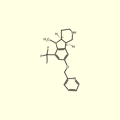 CN1c2c(cc(OCc3ccccn3)cc2C(F)(F)F)[C@@H]2CNCC[C@@H]21